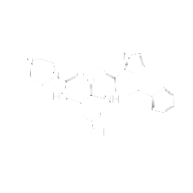 CC(C)C[C@H](NC(=O)N1CCNCC1)C(=O)N[C@@H](CCc1ccccc1)C(=O)c1nccs1